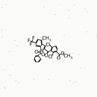 COC(=O)c1ccc(Cl)c(C(=O)c2cc3c(C)cc(C(F)(F)F)cc3n2S(=O)(=O)c2ccccc2)c1Cl